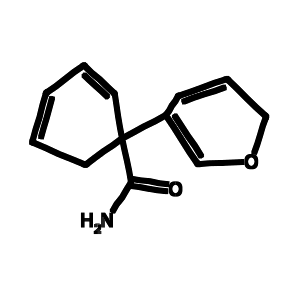 NC(=O)C1(C2=COCC=C2)C=CC=CC1